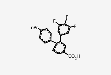 CCCc1ccc(-c2ccc(C(=O)O)cc2-c2cc(F)c(F)c(F)c2)cc1